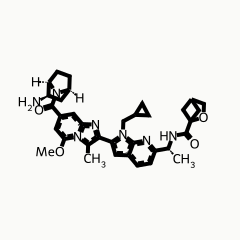 COc1cc(C(=O)N2[C@H]3CC[C@@H]2[C@H](N)C3)cc2nc(-c3cc4ccc([C@@H](C)NC(=O)C56CC(CO5)C6)nc4n3CC3CC3)c(C)n12